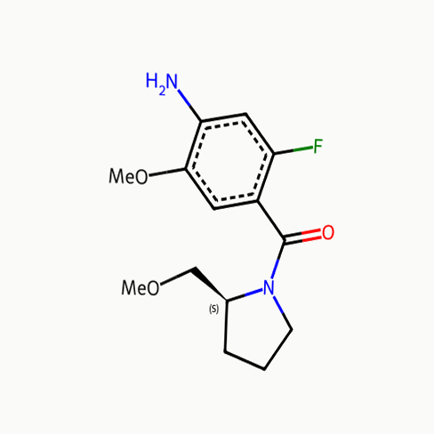 COC[C@@H]1CCCN1C(=O)c1cc(OC)c(N)cc1F